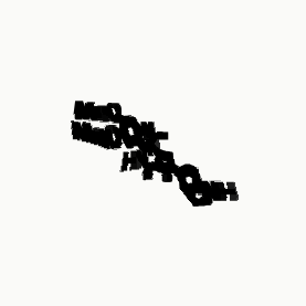 COc1cc2nc(C)nc(NC(C)c3ccc(-c4ccc5[nH]ccc5c4)s3)c2cc1OC